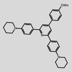 COc1ccc(-c2cc(-c3ccc(N4CCCCC4)cc3)nc(-c3ccc(N4CCCCC4)cc3)c2)cc1